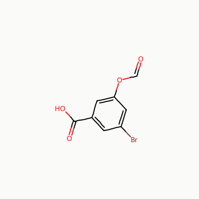 O=COc1cc(Br)cc(C(=O)O)c1